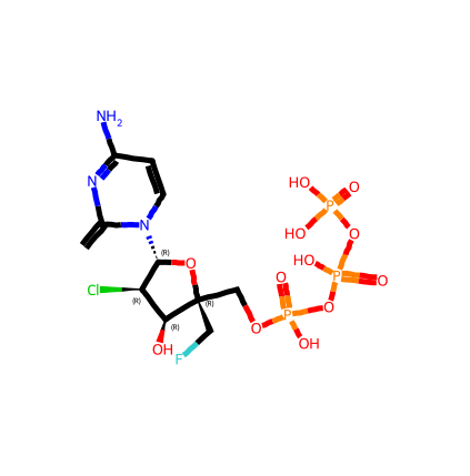 C=C1N=C(N)C=CN1[C@@H]1O[C@](CF)(COP(=O)(O)OP(=O)(O)OP(=O)(O)O)[C@@H](O)[C@H]1Cl